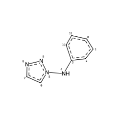 c1ccc(Nn2ccnn2)cc1